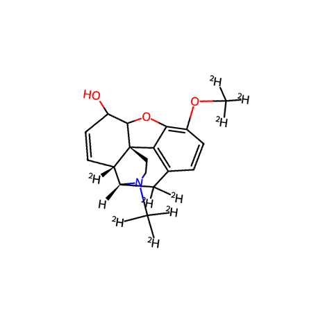 [2H]C([2H])([2H])Oc1ccc2c3c1OC1C(O)C=C[C@@]4([2H])[C@H](N(C([2H])([2H])[2H])CC[C@]314)C2([2H])[2H]